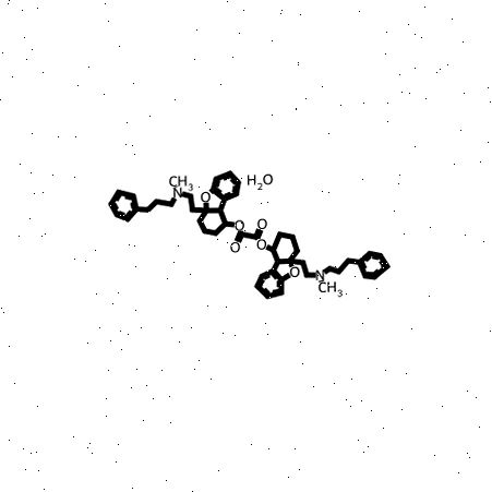 CN(CCCc1ccccc1)CCC12CCCC(OC(=O)C(=O)OC3CCCC4(CCN(C)CCCc5ccccc5)Oc5ccccc5C34)C1c1ccccc1O2.O